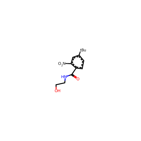 CC(C)(C)c1ccc(C(=O)NCCO)c([N+](=O)[O-])c1